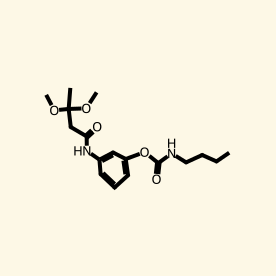 CCCCNC(=O)Oc1cccc(NC(=O)CC(C)(OC)OC)c1